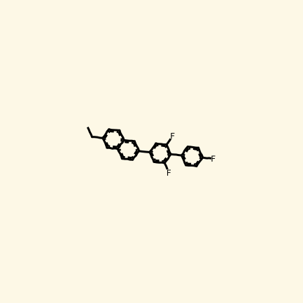 CCc1ccc2cc(-c3cc(F)c(-c4ccc(F)cc4)c(F)c3)ccc2c1